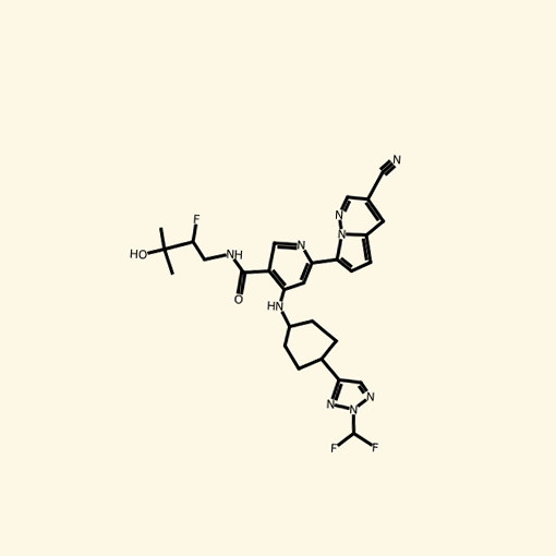 CC(C)(O)C(F)CNC(=O)c1cnc(-c2ccc3cc(C#N)cnn23)cc1NC1CCC(c2cnn(C(F)F)n2)CC1